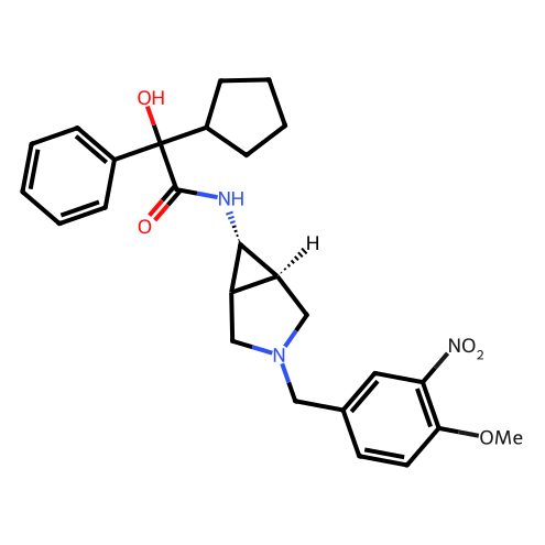 COc1ccc(CN2CC3[C@H](C2)[C@H]3NC(=O)C(O)(c2ccccc2)C2CCCC2)cc1[N+](=O)[O-]